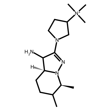 CC1CC[C@H]2C(N)C(N3CCC([N+](C)(C)C)C3)=NN2[C@H]1C